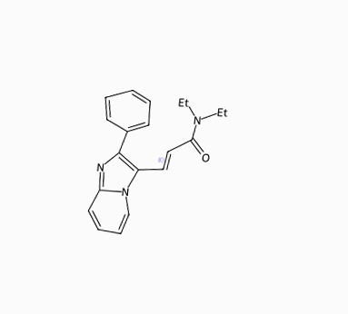 CCN(CC)C(=O)/C=C/c1c(-c2ccccc2)nc2ccccn12